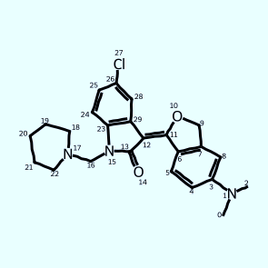 CN(C)c1ccc2c(c1)COC2=C1C(=O)N(CN2CCCCC2)c2ccc(Cl)cc21